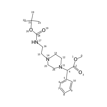 COC(=O)C(c1ccccc1)N1CCN(CCNC(=O)OC(C)(C)C)CC1